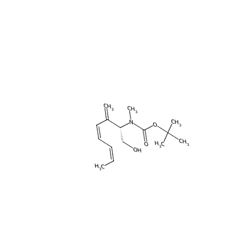 C=C(/C=C\C=C/C)[C@@H](CO)N(C)C(=O)OC(C)(C)C